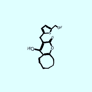 O=c1oc2c(c(O)c1Cc1ccc(CO)s1)CCCCCC2